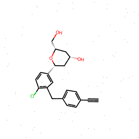 C#Cc1ccc(Cc2cc([C@H]3C[C@@H](O)C[C@@H](CO)O3)ccc2Cl)cc1